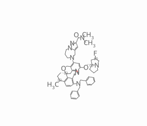 C[C@H]1CC[C@]2(Cc3nc(OC[C@@]45CCCN4C[C@H](F)C5)cc(N4CCCn5nc(C(=O)N(C)C)cc5C4)c3CO2)c2c1ccc(N(Cc1ccccc1)Cc1ccccc1)c2C#N